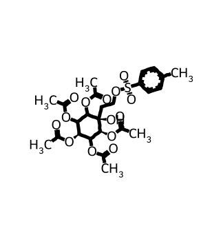 CC(=O)OC1C(OC(C)=O)[C@](O)(CCOS(=O)(=O)c2ccc(C)cc2)[C@@H](OC(C)=O)C(OC(C)=O)[C@H]1OC(C)=O